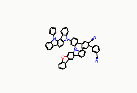 N#Cc1cccc(-c2ccc(-c3ccc(-n4c5ccccc5c5c4ccc4c6ccccc6n(-c6ccccc6)c45)cc3-n3c4ccccc4c4cc5c(cc43)oc3ccccc35)cc2C#N)c1